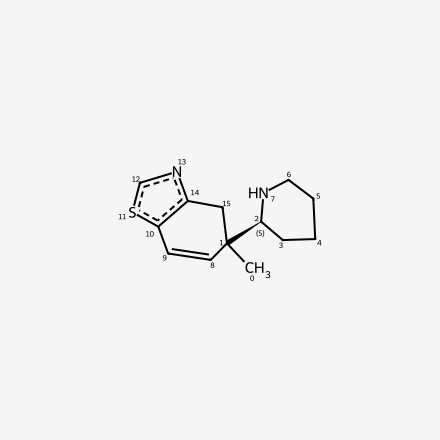 CC1([C@@H]2CCCCN2)C=Cc2scnc2C1